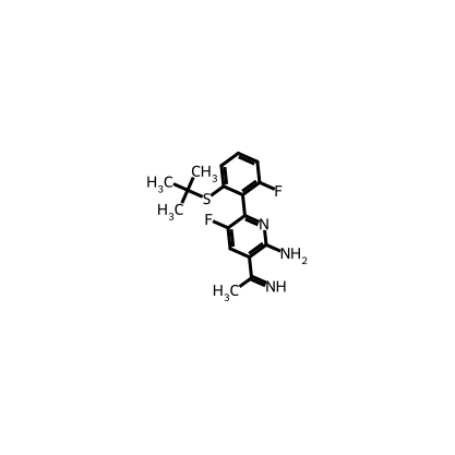 CC(=N)c1cc(F)c(-c2c(F)cccc2SC(C)(C)C)nc1N